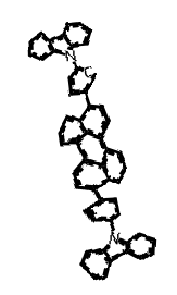 c1cc2c(-c3ccc(-n4c5ccccc5c5ccccc54)cc3)ccc3c4cccc5c(-c6ccc(-n7c8ccccc8c8ccccc87)cc6)ccc(c(c1)c23)c54